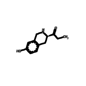 CCC(=O)[C@H]1Cc2ccc(O)cc2CN1